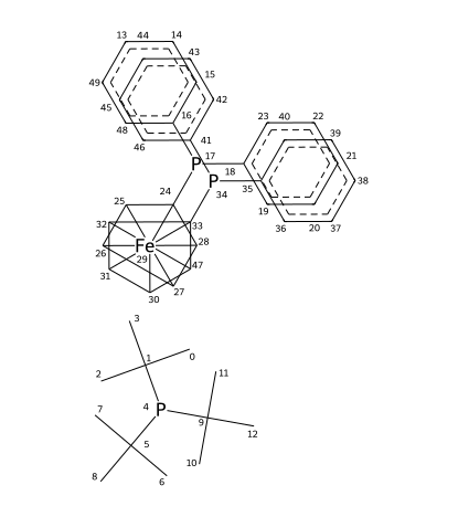 CC(C)(C)P(C(C)(C)C)C(C)(C)C.c1ccc(P(c2ccccc2)[C]23[CH]4[CH]5[CH]6[CH]2[Fe]56432789[CH]3[CH]2[CH]7[C]8(P(c2ccccc2)c2ccccc2)[CH]39)cc1